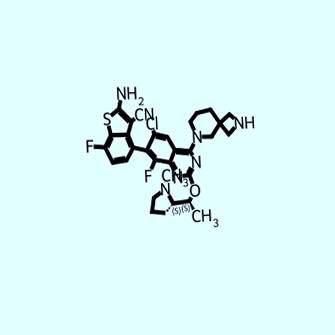 C[C@H](Oc1nc(N2CCCC3(CNC3)C2)c2cc(Cl)c(-c3ccc(F)c4sc(N)c(C#N)c34)c(F)c2n1)[C@@H]1CCCN1C